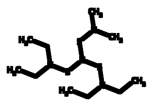 CCN(CC)SN(SN(C)C)SN(CC)CC